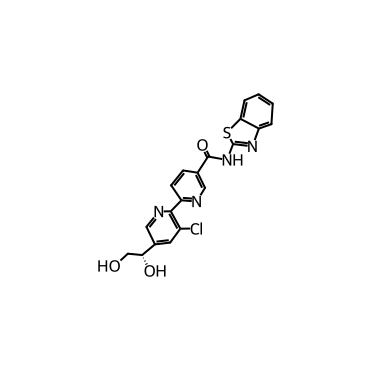 O=C(Nc1nc2ccccc2s1)c1ccc(-c2ncc([C@H](O)CO)cc2Cl)nc1